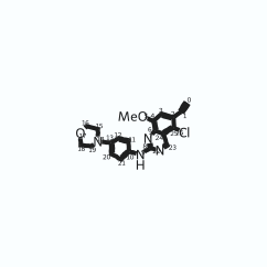 C#Cc1cc(OC)c2nc(Nc3ccc(N4CCOCC4)cc3)ncc2c1Cl